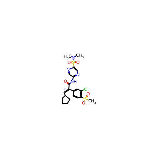 CN(C)S(=O)(=O)c1cnc(NC(=O)/C(=C/C2CCCC2)c2ccc(S(C)(=O)=O)c(Cl)c2)cn1